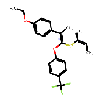 C/C=C(/C)S/C(Oc1ccc(C(F)(F)F)cc1)=C(\C)c1ccc(OCC)cc1